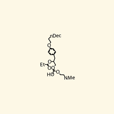 CCCCCCCCCCCCOc1ccc(CC(COP(O)OCCNC)OC(=O)CC)cc1